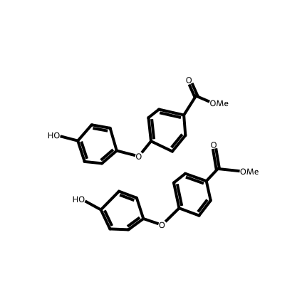 COC(=O)c1ccc(Oc2ccc(O)cc2)cc1.COC(=O)c1ccc(Oc2ccc(O)cc2)cc1